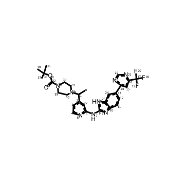 CC(c1ccnc(Nc2nc3ccc(-c4cc(C(F)(F)F)ncn4)cc3[nH]2)c1)N1CCN(C(=O)OC(C)(C)C)CC1